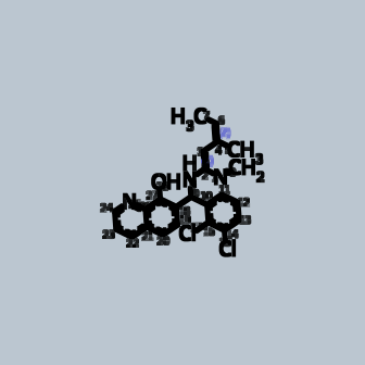 C=N/C(=C\C(C)=C/C)NC(c1cccc(Cl)c1Cl)c1ccc2cccnc2c1O